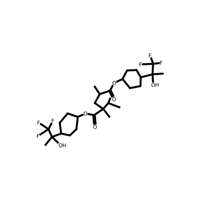 CC(CC(C)(C(=O)OC1CCC(C(C)(O)C(F)(F)F)CC1)C(C)C)C(=O)OC1CCC(C(C)(O)C(F)(F)F)CC1